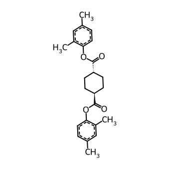 Cc1ccc(OC(=O)[C@H]2CC[C@H](C(=O)Oc3ccc(C)cc3C)CC2)c(C)c1